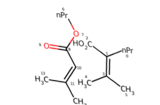 CCCC(C(=O)O)=C(C)C.CCCOC(=O)C=C(C)C